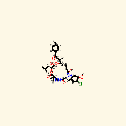 COc1ccc(C[C@H]2NC(=O)/C=C/C[C@@H]([C@H](C)[C@@H]3O[C@H]3c3ccc(C)cc3)OC(=O)[C@H](CC(C)C)OC(=O)C(C)(C)CNC2=O)cc1Cl